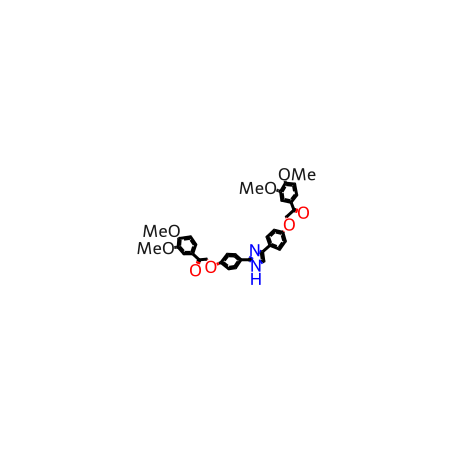 COc1ccc(C(=O)COc2ccc(-c3c[nH]c(-c4ccc(OCC(=O)c5ccc(OC)c(OC)c5)cc4)n3)cc2)cc1OC